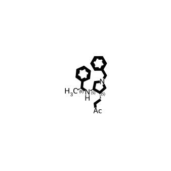 CC(=O)CC[C@H]1CN(Cc2ccccc2)C[C@H]1N[C@H](C)c1ccccc1